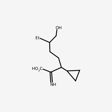 CCC(CO)CCC(C(=N)C(=O)O)C1CC1